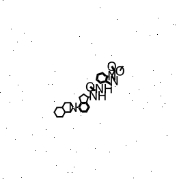 COC(=O)n1ncc2c(NC(=O)NC3CCc4c3cccc4N3CCC4CCCCC4C3)cccc21